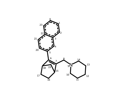 c1ccc2cc(C3=C(CN4CCCCC4)C4CCC3C4)ccc2c1